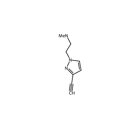 C#Cc1ccn(CCNC)n1